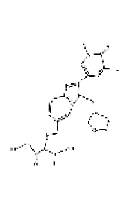 Cc1cc(-c2nc3ccc(CNC(C(=O)OC(C)C)C(C)O)cc3n2CC2CCOC2)cn(C)c1=O